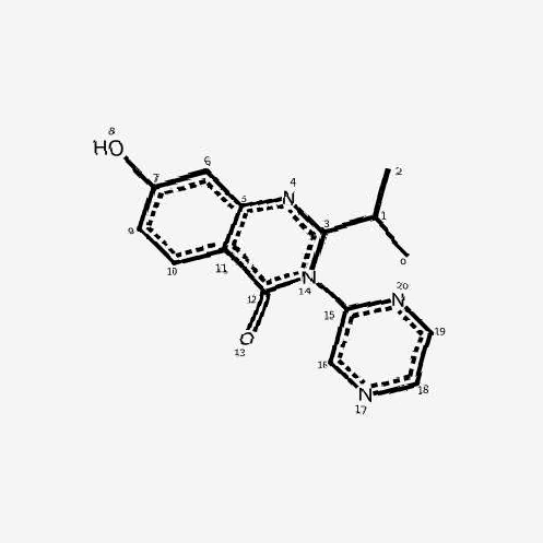 CC(C)c1nc2cc(O)ccc2c(=O)n1-c1cnccn1